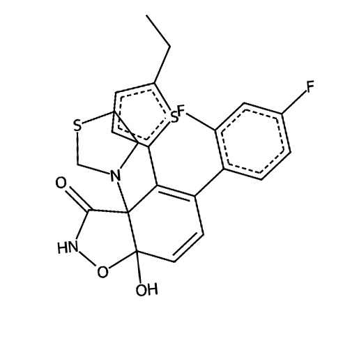 CCc1ccc(C2=C(c3ccc(F)cc3F)C=CC3(O)ONC(=O)C23N2CCSC2)s1